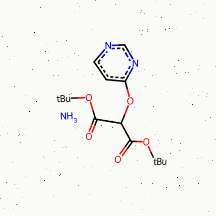 CC(C)(C)OC(=O)C(Oc1ccncn1)C(=O)OC(C)(C)C.N